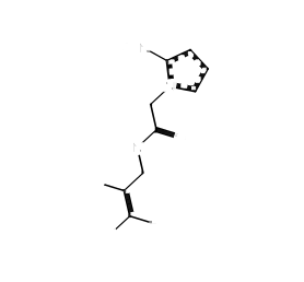 O=C(Cn1cccc1[N+](=O)[O-])NCC(F)=C(F)F